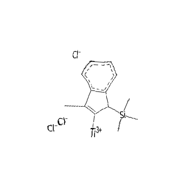 CC1=[C]([Ti+3])C([Si](C)(C)C)c2ccccc21.[Cl-].[Cl-].[Cl-]